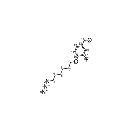 [N-]=[N+]=NCCCCCCOc1ccc(C=O)cc1F